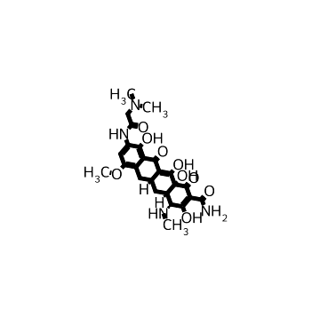 CN[C@@H]1C(O)=C(C(N)=O)C(=O)[C@@]2(O)C(O)=C3C(=O)c4c(O)c(NC(=O)CN(C)C)cc(OC)c4C[C@H]3C[C@@H]12